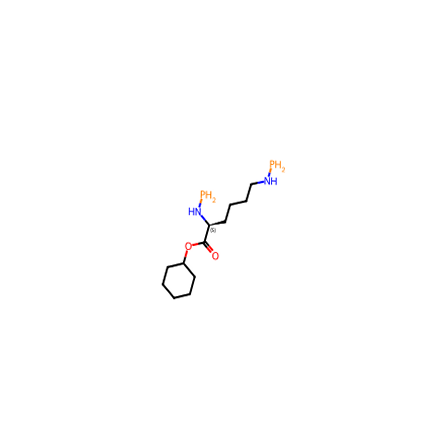 O=C(OC1CCCCC1)[C@H](CCCCNP)NP